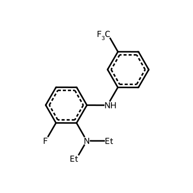 CCN(CC)c1c(F)cccc1Nc1cccc(C(F)(F)F)c1